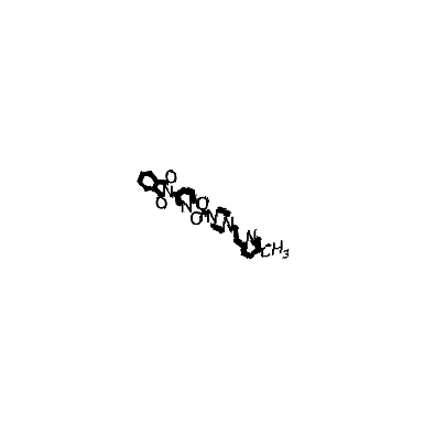 Cc1ccc(CCN2CCN(C(=O)Oc3ccc(N4C(=O)C5CCCCC5C4=O)cn3)CC2)nc1